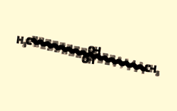 CCCCCCCCCCCCCCCCC(O)C(O)CCCCCCCCCCCCCCCC